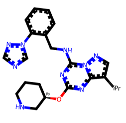 CC(C)c1cnn2c(NCc3ccccc3-n3cncn3)nc(O[C@@H]3CCCNC3)nc12